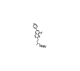 CC(CCc1ccc2cc(-c3ccncc3)cc(F)c2n1)CN=[N+]=[N-]